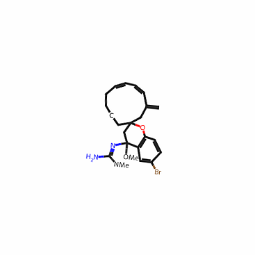 C=C1/C=C\C=C/CCCCC2(C1)CC(/N=C(/N)NC)(OC)c1cc(Br)ccc1O2